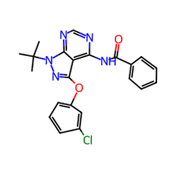 CC(C)(C)n1nc(Oc2cccc(Cl)c2)c2c(NC(=O)c3ccccc3)ncnc21